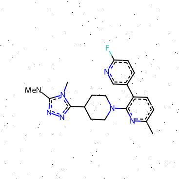 CNc1nnc(C2CCN(c3nc(C)ccc3-c3ccc(F)nc3)CC2)n1C